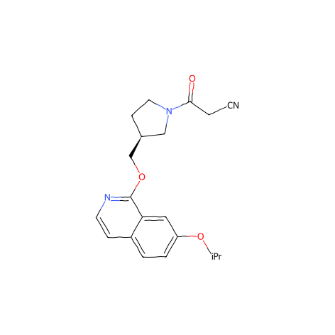 CC(C)Oc1ccc2ccnc(OC[C@H]3CCN(C(=O)CC#N)C3)c2c1